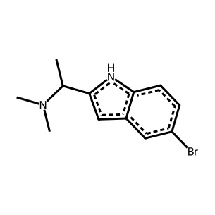 CC(c1cc2cc(Br)ccc2[nH]1)N(C)C